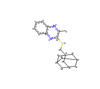 Cc1nc2ccccc2nc1SCC12CC3CC(CC(C3)C1)C2